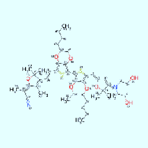 CCCCCOc1c(/C=C2/C=C(N(CCO)CCO)C(C)(C)O2)sc(-c2sc(/C=C/C3=C(C)C(=C(/C)C#N)/OC3(C)C)c3c2OCC(CCCC)O3)c1OCC